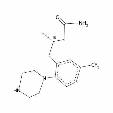 C[C@H](CC(N)=O)Cc1cc(C(F)(F)F)ccc1N1CCNCC1